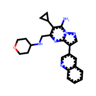 Nc1c(C2CC2)c(CNC2CCOCC2)nc2c(-c3cnc4ccccc4c3)cnn12